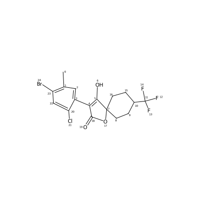 Cc1cc(C2=C(O)C3(CCC(C(F)(F)F)CC3)OC2=O)c(Cl)cc1Br